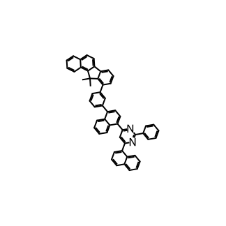 CC1(C)c2c(-c3cccc(-c4ccc(-c5cc(-c6cccc7ccccc67)nc(-c6ccccc6)n5)c5ccccc45)c3)cccc2-c2ccc3ccccc3c21